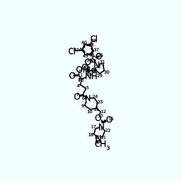 COC(=O)[C@H](CCC(=O)N1CCC(COC(=O)N2CCN(C)CC2)CC1)NC(=O)[C@@H]1CCCN1S(=O)(=O)c1cc(Cl)cc(Cl)c1